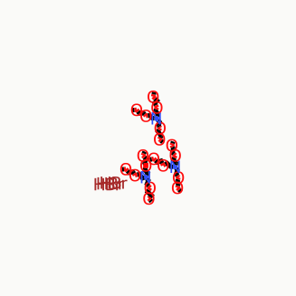 Br.Br.Br.COCCOCCN(CCOCCOC)CCOCCOC.COCCOCCN(CCOCCOC)CCOCCOC.COCCOCCN(CCOCCOC)CCOCCOC